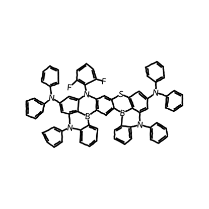 Fc1cccc(F)c1N1c2cc3c(cc2B2c4ccccc4N(c4ccccc4)c4cc(N(c5ccccc5)c5ccccc5)cc1c42)B1c2ccccc2N(c2ccccc2)c2cc(N(c4ccccc4)c4ccccc4)cc(c21)S3